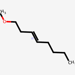 [CH2]CCC/C=C/CCOC